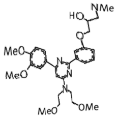 CNCC(O)COc1cccc(-c2nc(-c3ccc(OC)c(OC)c3)cc(N(CCOC)CCOC)n2)c1